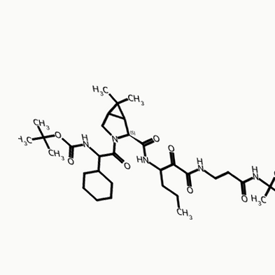 CCCC(NC(=O)[C@@H]1C2C(CN1C(=O)C(NC(=O)OC(C)(C)C)C1CCCCC1)C2(C)C)C(=O)C(=O)NCCC(=O)NC(C)(C)C